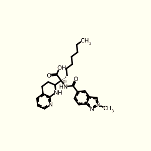 CCCCCCC[C@@](NC(=O)c1ccc2nn(C)cc2c1)(C(=O)O)C1CCc2cccnc2N1